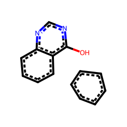 Oc1ncnc2ccccc12.c1ccccc1